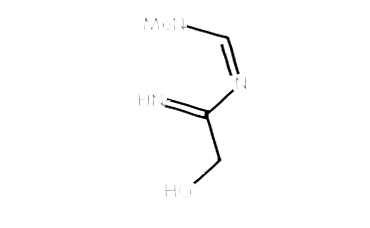 CN/C=N\C(=N)CO